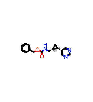 O=C(NC[C@H]1C[C@@H]1c1cncnc1)OCc1ccccc1